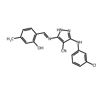 Cc1ccc(/C=N/c2[nH]nc(Nc3cccc(Cl)c3)c2C#N)c(O)c1